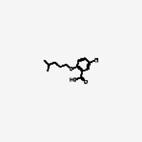 CC(C)CCCOc1ccc(Cl)cc1C(=O)O